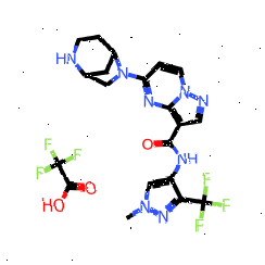 Cn1cc(NC(=O)c2cnn3ccc(N4CC5CC4CCN5)nc23)c(C(F)(F)F)n1.O=C(O)C(F)(F)F